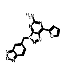 Nc1nc(-c2ccco2)c2nnn(Cc3ccc4nonc4c3)c2n1